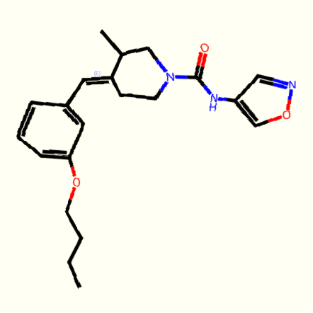 CCCCOc1cccc(/C=C2\CCN(C(=O)Nc3cnoc3)CC2C)c1